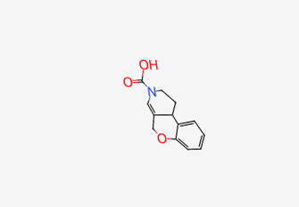 O=C(O)N1C=C2COc3ccccc3C2CC1